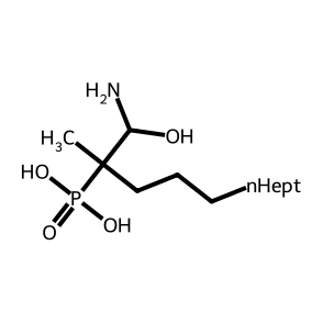 CCCCCCCCCCC(C)(C(N)O)P(=O)(O)O